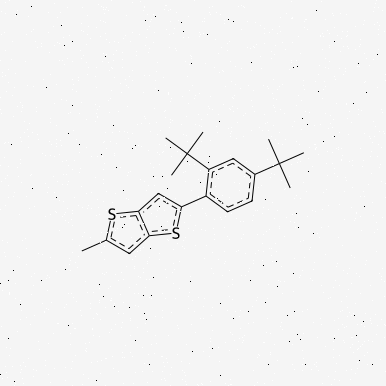 Cc1cc2sc(-c3ccc(C(C)(C)C)cc3C(C)(C)C)cc2s1